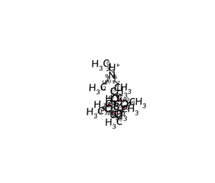 CCCC[NH+](CCCC)CCCC.Cc1ccc([B-](c2ccc(C)cc2C)(c2ccc(C)cc2C)c2ccc(C)cc2C)c(C)c1